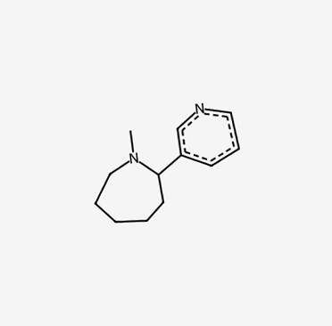 CN1CCCCCC1c1cccnc1